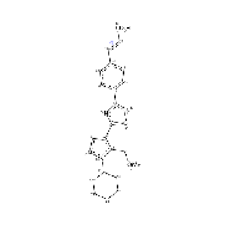 COCc1c(-c2nc(-c3ccc(/C=C/C(=O)O)cc3)no2)cnn1C1CCCCC1